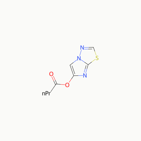 CCCC(=O)Oc1cn2ncsc2n1